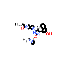 C=CC(=O)N1CC2(CCN(c3nc(OC[C@@H]4CCCN4C)nc(-c4cc(O)cc5ccccc45)c3C#N)C2)C1